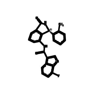 Cc1ccccc1[C@H]1NC(=O)c2cccc(NC(=O)c3csc4c(F)cccc34)c21